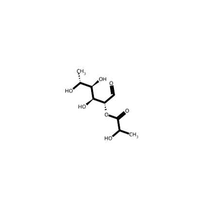 CC(O)C(=O)O[C@@H](C=O)[C@@H](O)[C@H](O)[C@@H](C)O